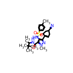 Cc1ccc(S(=O)(=O)Nc2c(C3=CCC(C#N)CC3)nn(C)c2C(=O)NC(C)C(C)(C)C)cc1